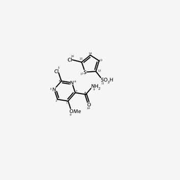 COc1cnc(Cl)nc1C(N)=O.O=S(=O)(O)c1ccc(Cl)s1